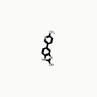 Cc1ccc(-c2ccc3[nH]c(O)nc3c2)cn1